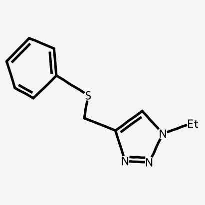 CCn1cc(CSc2ccccc2)nn1